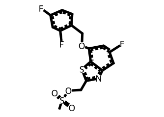 CS(=O)(=O)OCc1nc2cc(F)cc(OCc3ccc(F)cc3F)c2s1